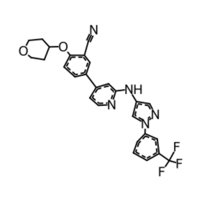 N#Cc1cc(-c2ccnc(Nc3cnn(-c4cccc(C(F)(F)F)c4)c3)c2)ccc1OC1CCOCC1